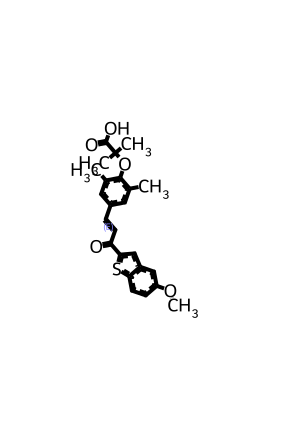 COc1ccc2sc(C(=O)/C=C/c3cc(C)c(OC(C)(C)C(=O)O)c(C)c3)cc2c1